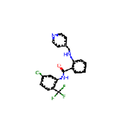 O=C(Nc1cc(Cl)ccc1C(F)(F)F)c1ccccc1NCc1ccncc1